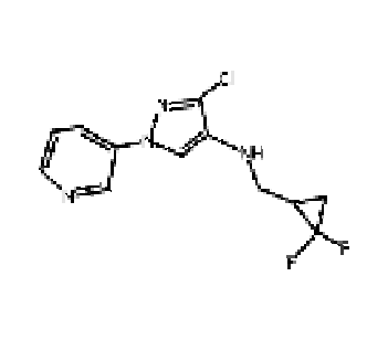 FC1(F)CC1CNc1cn(-c2cccnc2)nc1Cl